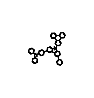 c1ccc(-c2ccc3c(c2)c2cc(-c4ccc(N(c5ccccc5)c5ccccc5)cc4)ccc2n3-c2ccc3c4ccccc4c4ccccc4c3c2)cc1